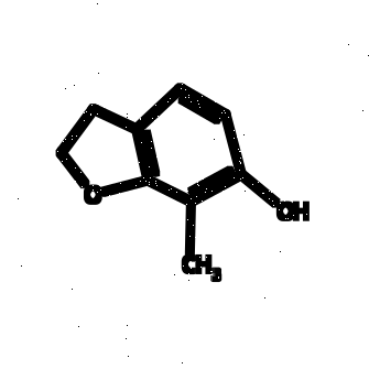 Cc1c(O)ccc2c1OCC2